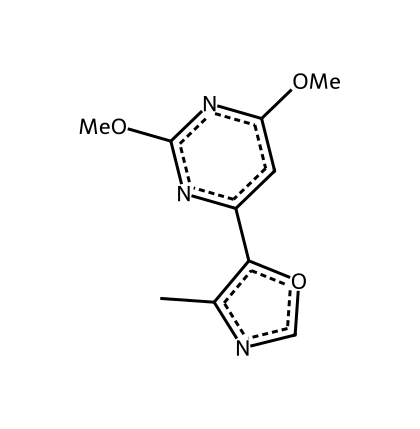 COc1cc(-c2ocnc2C)nc(OC)n1